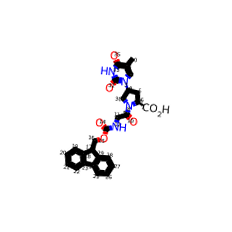 Cc1cn([C@H]2C[C@@H](C(=O)O)N(C(=O)CNC(=O)OCC3c4ccccc4-c4ccccc43)C2)c(=O)[nH]c1=O